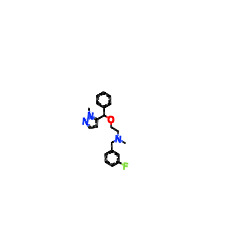 CN(CCOC(c1ccccc1)c1ccnn1C)Cc1cccc(F)c1